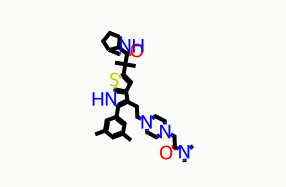 Cc1cc(C)cc(-c2[nH]c3sc(C(C)(C)C(=O)C4C5CCC4NC5)cc3c2CCN2CCN(CC(=O)N(C)C)CC2)c1